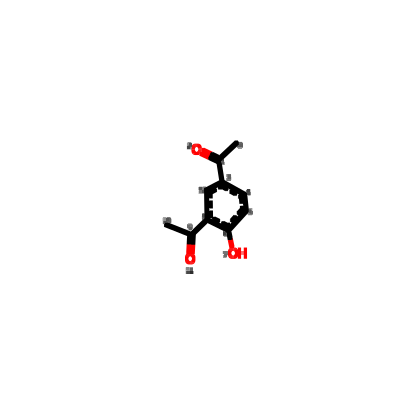 CC(=O)c1ccc(O)c(C(C)=O)c1